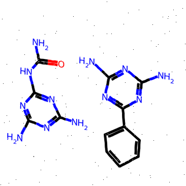 NC(=O)Nc1nc(N)nc(N)n1.Nc1nc(N)nc(-c2ccccc2)n1